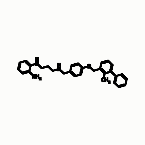 Cc1c(COc2ccc(CNCCCNc3ccccc3N)cc2)cccc1-c1ccccc1